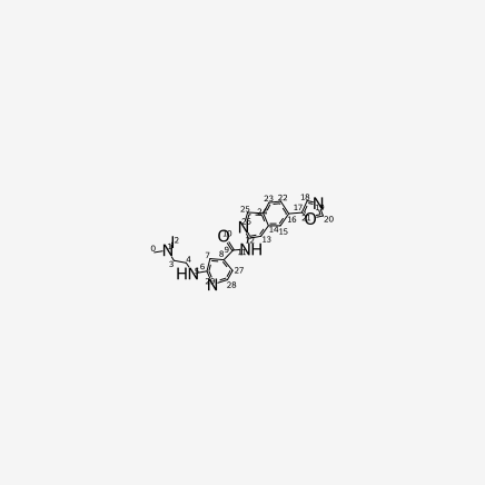 CN(I)CCNc1cc(C(=O)Nc2cc3cc(-c4cnco4)ccc3cn2)ccn1